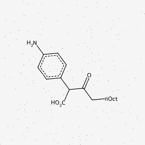 CCCCCCCCCC(=O)C(C(=O)O)c1ccc(N)cc1